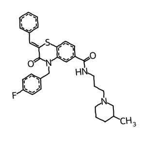 CC1CCCN(CCCNC(=O)c2ccc3c(c2)N(Cc2ccc(F)cc2)C(=O)/C(=C/c2ccccc2)S3)C1